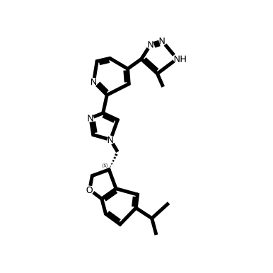 Cc1[nH]nnc1-c1ccnc(-c2cn(C[C@H]3COc4ccc(C(C)C)cc43)cn2)c1